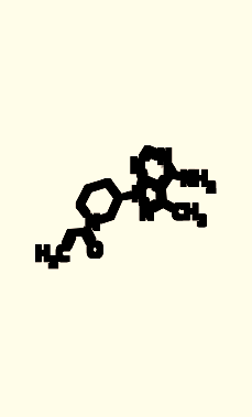 C=CC(=O)N1CCC[C@@H](n2nc(C)c3c(N)ncnc32)C1